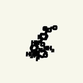 CC1(c2cc(NC(=O)c3ccc(C(=O)OC=O)cn3)ccc2F)N=C(N)COCC1(F)F